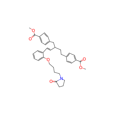 COC(=O)c1ccc(CCC(C=Cc2ccccc2OCCCCN2CCCC2=O)Cc2ccc(C(=O)OC)cc2)cc1